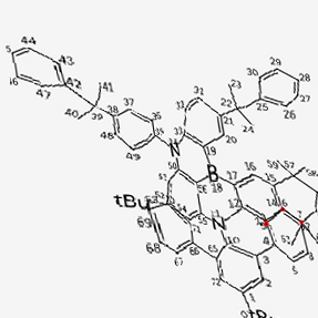 CC(C)(C)c1cc(-c2ccccc2)c(N2c3cc4c(cc3B3c5cc(C(C)(C)c6ccccc6)ccc5N(c5ccc(C(C)(C)c6ccccc6)cc5)c5cc(C(C)(C)C)cc2c53)C(C)(C)CCC4(C)C)c(-c2ccccc2)c1